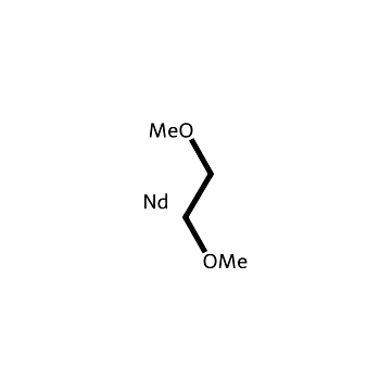 COCCOC.[Nd]